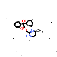 CC1CCNC(COC(=O)C(O)(c2ccccc2)C2CCCCC2)=N1